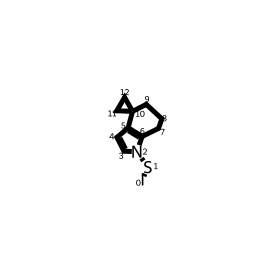 ISn1ccc2c1CCCC21CC1